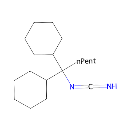 CCCCCC(N=C=N)(C1CCCCC1)C1CCCCC1